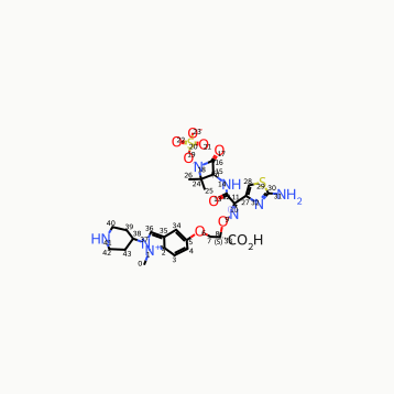 C[n+]1c2ccc(OC[C@H](O/N=C(\C(=O)N[C@@H]3C(=O)N(OS(=O)(=O)[O-])C3(C)C)c3csc(N)n3)C(=O)O)cc2cn1C1CCNCC1